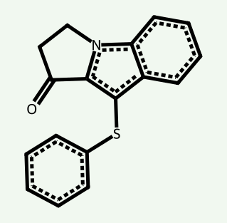 O=C1CCn2c1c(Sc1ccccc1)c1ccccc12